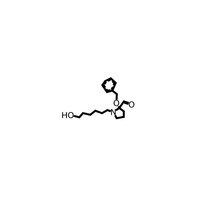 O=CC1(OCc2ccccc2)CCCN1CCCCCCO